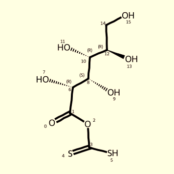 O=C(OC(=S)S)[C@H](O)[C@@H](O)[C@H](O)[C@H](O)CO